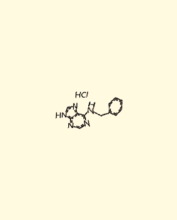 Cl.c1ccc(CNc2ncnc3[nH]cnc23)cc1